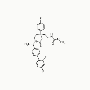 COC(=O)NCC[C@]1(c2ccc(F)cc2)CCN([C@@H](C)c2ccc(-c3ccc(F)cc3F)cc2)C(=O)C1